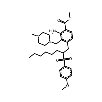 CCCCCCC(Cc1ccc(C(=O)OC)c(N)c1CN1CCN(C)CC1)S(=O)(=O)c1ccc(OC)cc1